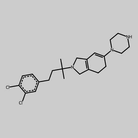 CC(C)(CCc1ccc(Cl)c(Cl)c1)N1CC2=C(CCC(N3CCNCC3)=C2)C1